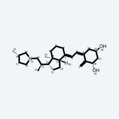 C=C1/C(=C\C=C2/CCC[C@]3(C)[C@@H]([C@@H](C)CN4CC[C@H](C)C4)CC[C@@H]23)C[C@@H](O)C[C@@H]1O